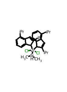 CC(C)C1=Cc2c(C(C)C)cccc2[CH]1[Zr]([Cl])([Cl])([CH]1C(C(C)C)=Cc2c(C(C)C)cccc21)[SiH](C)C